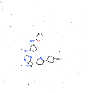 C=CC(=O)Nc1cccc(Nc2cnc3[nH]cc(-c4ccc(-c5ccc(OC)cc5)nc4)c3n2)c1